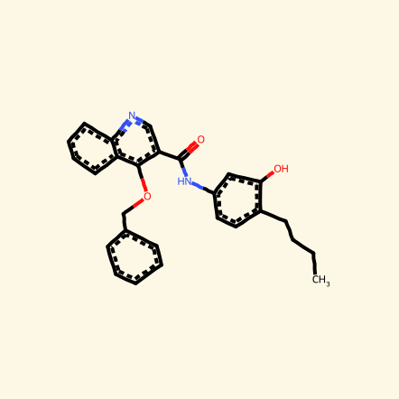 CCCCc1ccc(NC(=O)c2cnc3ccccc3c2OCc2ccccc2)cc1O